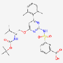 Cc1cccc(C)c1-c1cc(OC[C@H](NC(=O)OC(C)(C)C)C(C)C)nc(NS(=O)(=O)c2cccc(C(=O)O)c2)n1